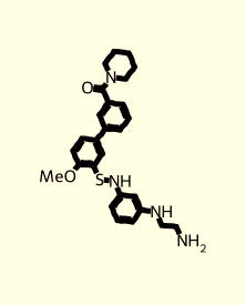 COc1ccc(-c2cccc(C(=O)N3CCCCC3)c2)cc1SNc1cccc(NCCN)c1